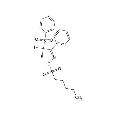 CCCCCS(=O)(=O)ON=C(c1ccccc1)C(F)(F)S(=O)(=O)c1ccccc1